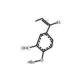 C/C=C(/CC)c1ccc(OCCCC)c(C=O)c1